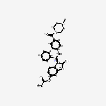 COC(=O)Oc1ccc2c(c1)NC(=O)/C2=C(\Nc1ccc(C(=O)N2CCN(C)CC2)cc1)c1ccccc1